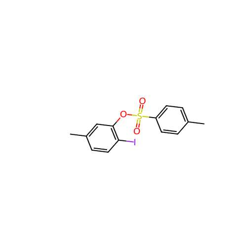 Cc1ccc(S(=O)(=O)Oc2cc(C)ccc2I)cc1